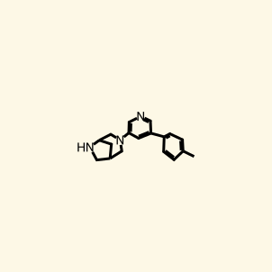 Cc1ccc(-c2cncc(N3CC4CNC(C4)C3)c2)cc1